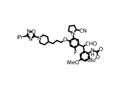 COc1ccc(NC(=O)OC(C)(C)C)c(C(C=O)c2cc(N3CCCC3C#N)c(OCCCC3CCN(c4nc(C(C)C)no4)CC3)cc2F)c1